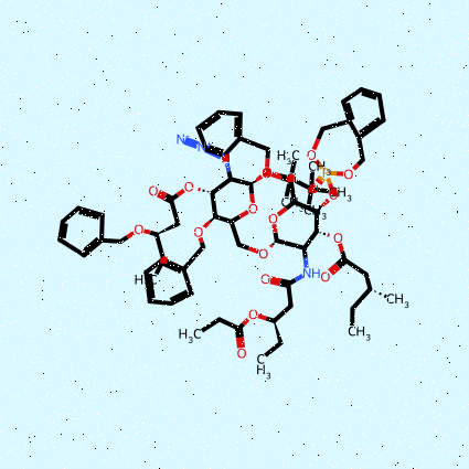 CCC(=O)O[C@H](CC)CC(=O)NC1[C@H](OCC2O[C@H](O[Si](C)(C)C(C)(C)C)C(N=[N+]=[N-])[C@@H](OC(=O)C[C@@H](CC)OCc3ccccc3)[C@@H]2OCc2ccccc2)OC(COCc2ccccc2)[C@@H](OP2(=O)OCc3ccccc3CO2)[C@@H]1OC(=O)C[C@H](C)CC